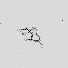 C=CC(C)(C)c1ccc(Cl)cc1Cl